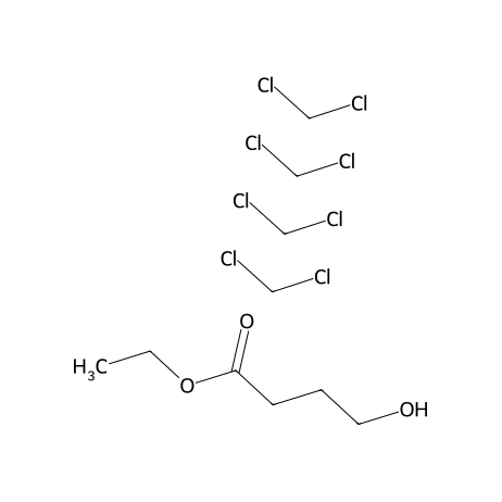 CCOC(=O)CCCO.ClCCl.ClCCl.ClCCl.ClCCl